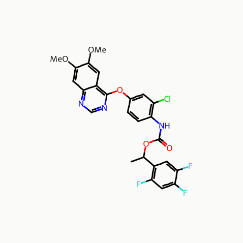 COc1cc2ncnc(Oc3ccc(NC(=O)OC(C)c4cc(F)c(F)cc4F)c(Cl)c3)c2cc1OC